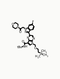 CC(C)(C)NC(=O)c1cn(COCC[Si](C)(C)C)c2ncc(-c3nn(CC(=O)N4CCOCC4)c4cc(F)ccc34)nc12